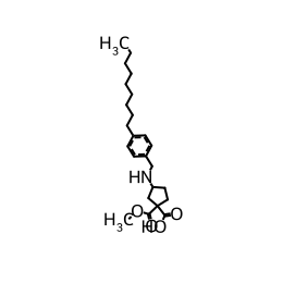 CCCCCCCCCc1ccc(CNC2CCC(C(=O)O)(C(=O)OC)C2)cc1